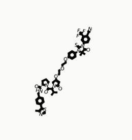 Cc1ncsc1-c1ccc(CNC(=O)[C@@H]2CCCN2C(=O)C(C(C)C)N2CC(OCCOCCOc3ccc(N4C(=S)N(c5ccc(C#N)c(C(F)(F)F)c5)C(=O)C4(C)C)cc3)=CC2=O)cc1